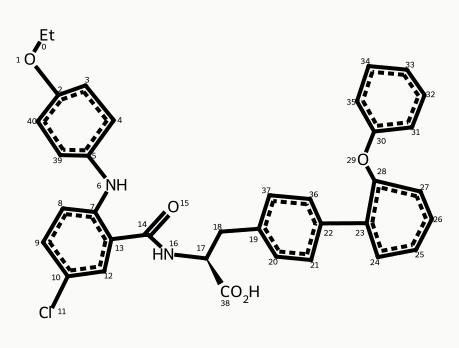 CCOc1ccc(Nc2ccc(Cl)cc2C(=O)N[C@@H](Cc2ccc(-c3ccccc3Oc3ccccc3)cc2)C(=O)O)cc1